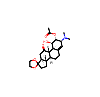 CC(=O)O[C@@H]1[C@@H](N(C)C)C=C2CC[C@@H]3[C@H](C(=O)C[C@@]4(C)[C@H]3CCC43OCCO3)[C@@]2(C)[C@H]1O